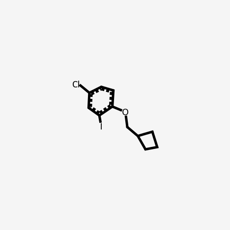 Clc1ccc(OCC2CCC2)c(I)c1